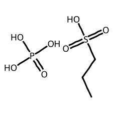 CCCS(=O)(=O)O.O=P(O)(O)O